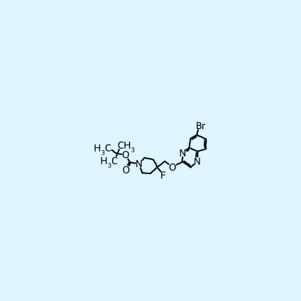 CC(C)(C)OC(=O)N1CCC(F)(COc2cnc3ccc(Br)cc3n2)CC1